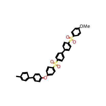 COc1ccc(S(=O)(=O)c2ccc(-c3ccc(S(=O)(=O)c4ccc(Oc5ccc(-c6ccc(C)cc6)cc5)cc4)cc3)cc2)cc1